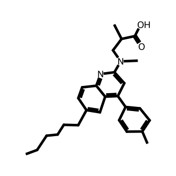 CCCCCCc1ccc2nc(N(C)CC(C)C(=O)O)cc(-c3ccc(C)cc3)c2c1